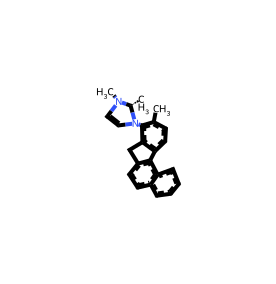 Cc1ccc2c(c1N1C=CN(C)[C@@H]1C)Cc1ccc3ccccc3c1-2